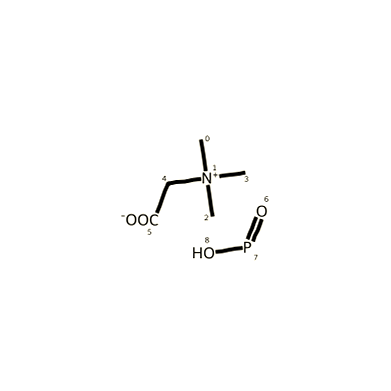 C[N+](C)(C)CC(=O)[O-].O=PO